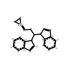 C1=CC(C(C[CH]=[Zr]2[CH2][CH2]2)C2C=Cc3ccccc32)c2ccccc21